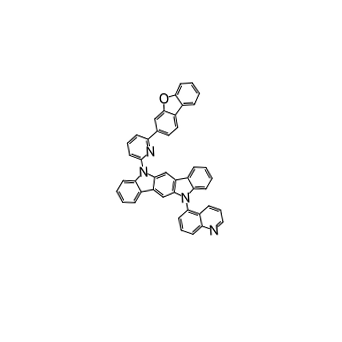 c1cc(-c2ccc3c(c2)oc2ccccc23)nc(-n2c3ccccc3c3cc4c(cc32)c2ccccc2n4-c2cccc3ncccc23)c1